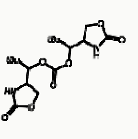 CC(C)(C)C(OC(=O)OC(C1COC(=O)N1)C(C)(C)C)C1COC(=O)N1